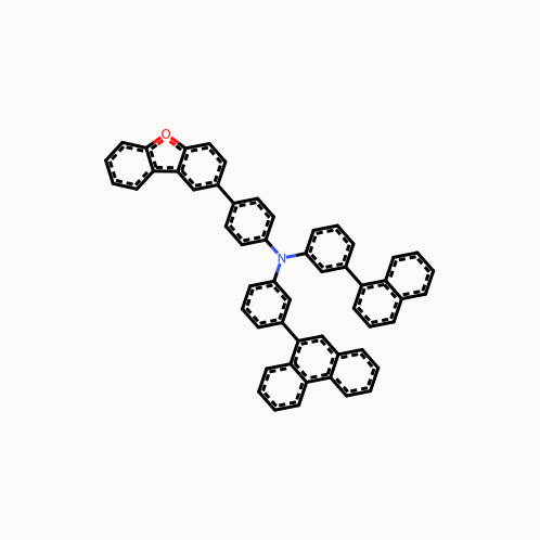 c1cc(-c2cccc3ccccc23)cc(N(c2ccc(-c3ccc4oc5ccccc5c4c3)cc2)c2cccc(-c3cc4ccccc4c4ccccc34)c2)c1